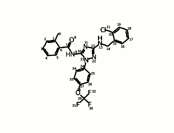 Cc1ccccc1C(=O)Nc1nc(NCc2ccccc2Cl)nn1-c1ccc(OC(F)(F)F)cc1